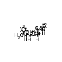 C[C@@H](NC(=O)Nc1cc2[nH]nc(C(=O)NCC3(O)CCC3)c2cn1)c1ccccc1